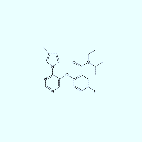 CCN(C(=O)c1cc(F)ccc1Oc1cncnc1-n1ccc(C)c1)C(C)C